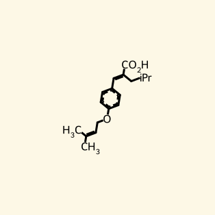 CC(C)=CCOc1ccc(/C=C(\CC(C)C)C(=O)O)cc1